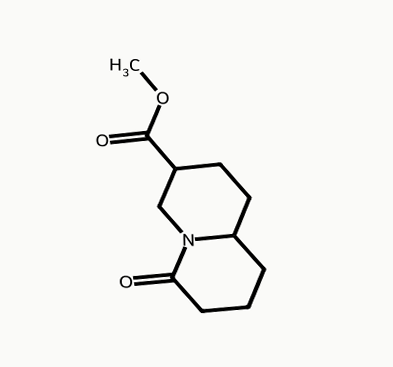 COC(=O)C1CCC2CCCC(=O)N2C1